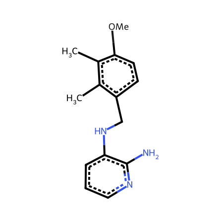 COc1ccc(CNc2cccnc2N)c(C)c1C